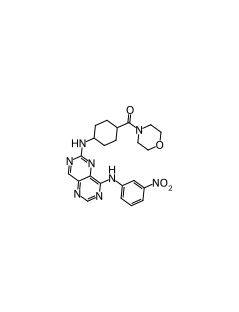 O=C(C1CCC(Nc2ncc3ncnc(Nc4cccc([N+](=O)[O-])c4)c3n2)CC1)N1CCOCC1